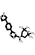 CN(c1nnc(-c2ccc(-c3cn[nH]c3)cc2)s1)C1CC(C)(C)NC(C)(C)C1